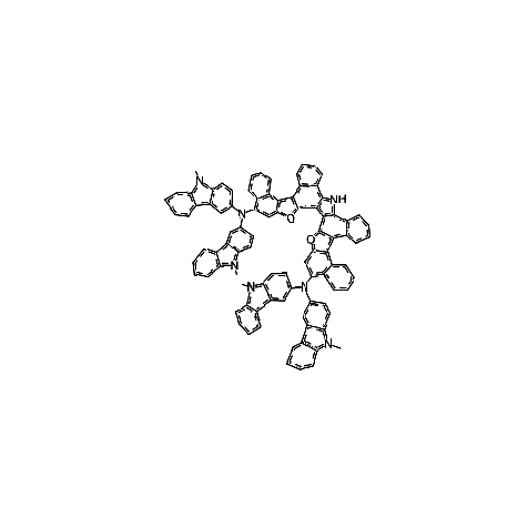 Cn1c2ccccc2c2cc(N(c3ccc4c(c3)c3ccccc3n4C)c3cc4oc5c(c6ccccc6c6[nH]c7c8ccccc8c8c(oc9cc(N(c%10ccc%11c(c%10)c%10ccccc%10n%11C)c%10ccc%11c(c%10)c%10ccccc%10n%11C)c%10ccccc%10c98)c7c65)c4c4ccccc34)ccc21